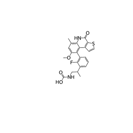 COc1cc(C)c2[nH]c(=O)c3sccc3c2c1-c1cccc(C(C)CNC(=O)O)c1F